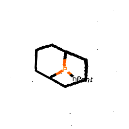 CCCCCP1C2CCCC1CCC2